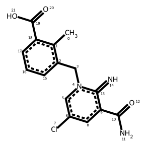 Cc1c(Cn2cc(Cl)cc(C(N)=O)c2=N)cccc1C(=O)O